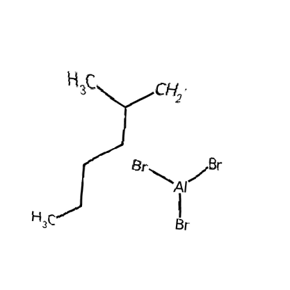 [Br][Al]([Br])[Br].[CH2]C(C)CCCC